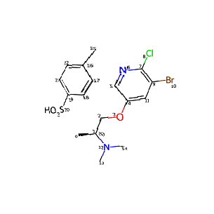 C[C@@H](COc1cnc(Cl)c(Br)c1)N(C)C.Cc1ccc(S(=O)(=O)O)cc1